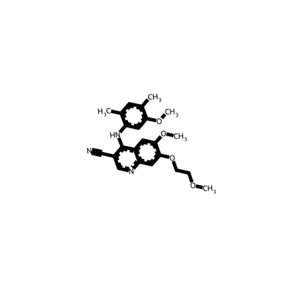 COCCOc1cc2ncc(C#N)c(Nc3cc(OC)c(C)cc3C)c2cc1OC